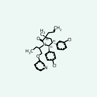 C=CC[C@]1(C)C[C@H](c2cccc(Cl)c2)[C@@H](c2ccc(Cl)cc2)N(C(CC)COc2cccnc2)C1=O